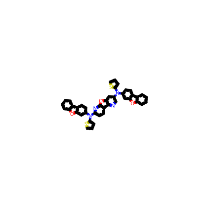 c1csc(N(c2ccc3c(c2)oc2ccccc23)c2cnc3c(c2)oc2nc(N(c4ccc5c(c4)oc4ccccc45)c4cccs4)ccc23)c1